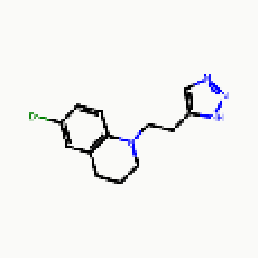 Brc1ccc2c(c1)CCCN2CCc1cnn[nH]1